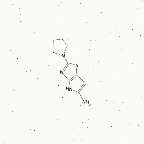 Nc1cc2sc(N3CCCC3)nc2[nH]1